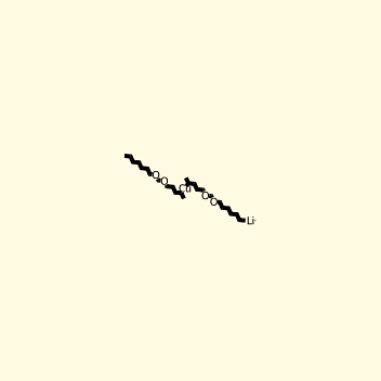 CCCCCCCOCOCCC[CH](C)[Cu][CH](C)CCCOCOCCCCCCC.[Li]